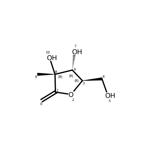 C=C1O[C@H](CO)[C@@H](O)[C@@]1(C)O